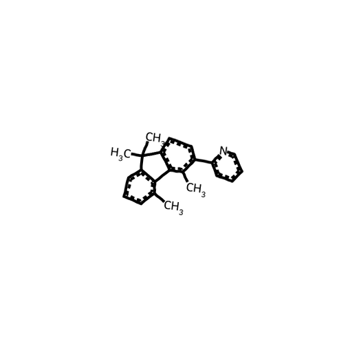 Cc1cccc2c1-c1c(ccc(-c3ccccn3)c1C)C2(C)C